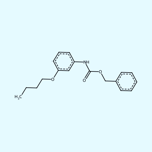 CCCCOc1[c]ccc(NC(=O)OCc2ccccc2)c1